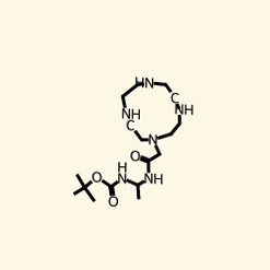 CC(NC(=O)CN1CCNCCNCCNCC1)NC(=O)OC(C)(C)C